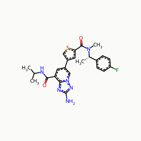 CC(C)NC(=O)c1cc(-c2csc(C(=O)N(C)[C@@H](C)c3ccc(F)cc3)c2)cn2nc(N)nc12